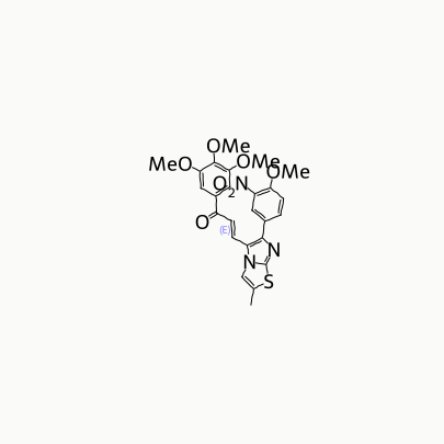 COc1ccc(-c2nc3sc(C)cn3c2/C=C/C(=O)c2cc(OC)c(OC)c(OC)c2)cc1[N+](=O)[O-]